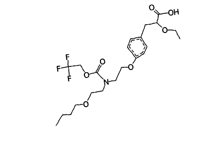 CCCCOCCN(CCOc1ccc(CC(OCC)C(=O)O)cc1)C(=O)OCC(F)(F)F